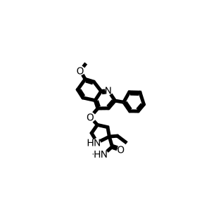 CCC1(C([NH])=O)CC(Oc2cc(-c3ccccc3)nc3cc(OC)ccc23)CN1